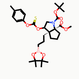 COC(=O)[C@]12CCC[C@@]1(CCCB1OC(C)(C)C(C)(C)O1)C(OC(=S)Oc1ccc(C)cc1)CN2C(=O)OC(C)(C)C